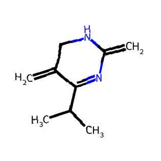 C=C1N=C(C(C)C)C(=C)CN1